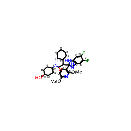 COc1ccc(C2(C(C(=O)NC3CCC(O)CC3)C3CCCCC3)Nc3cc(F)c(F)cc3N2)c(OC)n1